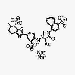 CC(=O)C(N=Nc1ccc(-c2nc3ccc(C)c(S(=O)(=O)[O-])c3s2)cc1S(=O)(=O)[O-])C(=O)Nc1ccc(S(=O)(=O)[O-])c2ccccc12.[Na+].[Na+].[Na+]